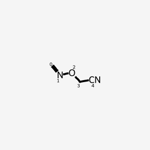 C=NOCC#N